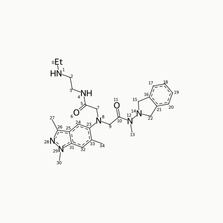 CCNCCNC(=O)CN(CC(=O)N(C)N1Cc2ccccc2C1)c1cc2c(C)nn(C)c2cc1C